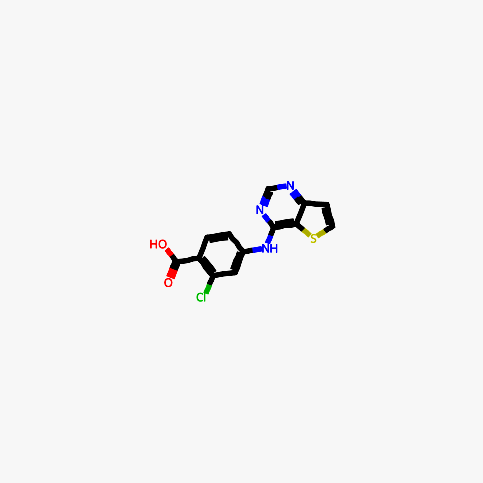 O=C(O)c1ccc(Nc2ncnc3ccsc23)cc1Cl